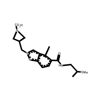 COC(C)CNC(=O)c1ccc2nn(CC3CN(C(=O)O)C3)cc2c1C